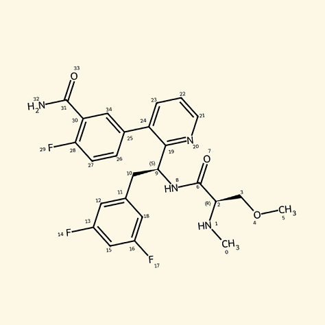 CN[C@H](COC)C(=O)N[C@@H](Cc1cc(F)cc(F)c1)c1ncccc1-c1ccc(F)c(C(N)=O)c1